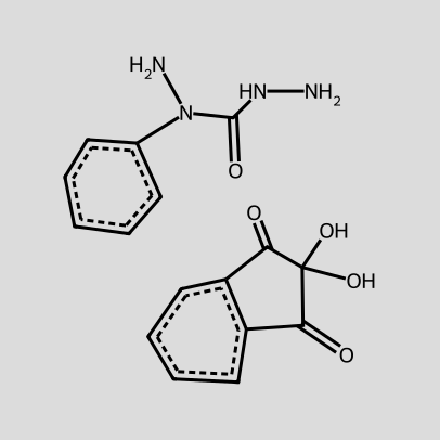 NNC(=O)N(N)c1ccccc1.O=C1c2ccccc2C(=O)C1(O)O